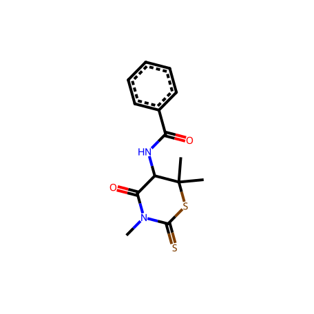 CN1C(=O)C(NC(=O)c2ccccc2)C(C)(C)SC1=S